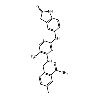 Cc1ccc(CNc2nc(Nc3ccc4c(c3)CC(=O)N4)ncc2C(F)(F)F)c(C(N)=O)c1